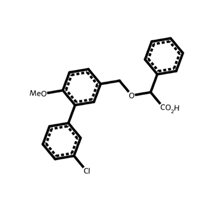 COc1ccc(COC(C(=O)O)c2ccccc2)cc1-c1cccc(Cl)c1